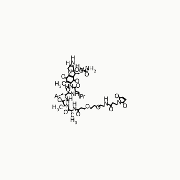 CO[C@@]12[C@@H]3N[C@@H]3CN1C1=C(C(=O)C(NC(=O)C(CC(C)C)NC(=O)[C@@H](CC(C)=O)NC(=O)[C@@H](C)NC(=O)[C@@H](C)NC(=O)CCOCCOCCNC(=O)CCN3C(=O)C=CC3=O)=C(C)C1=O)[C@@H]2COC(N)=O